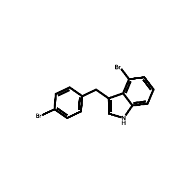 Brc1ccc(Cc2c[nH]c3cccc(Br)c23)cc1